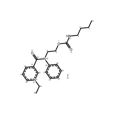 CCCCNC(=O)OCCN(C(=O)c1ccc[n+](CC)c1)c1ccccc1.[I-]